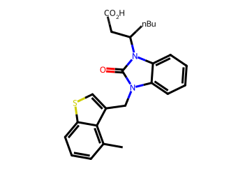 CCCCC(CC(=O)O)n1c(=O)n(Cc2csc3cccc(C)c23)c2ccccc21